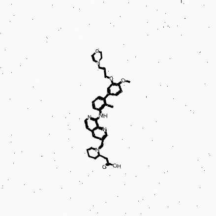 COc1ccc(-c2cccc(Nc3nccc4cc(CN5CCCCC5CC(=O)O)cnc34)c2C)cc1OCCCN1CCOCC1